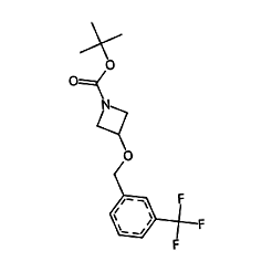 CC(C)(C)OC(=O)N1CC(OCc2cccc(C(F)(F)F)c2)C1